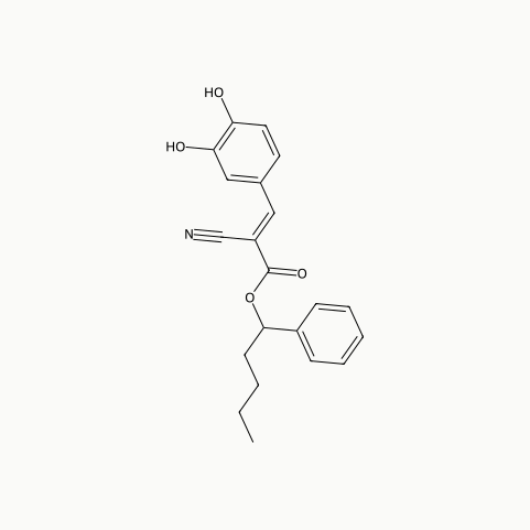 CCCCC(OC(=O)/C(C#N)=C/c1ccc(O)c(O)c1)c1ccccc1